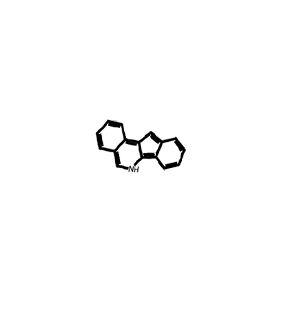 c1ccc2c3cc4ccccc4c-3[nH]cc2c1